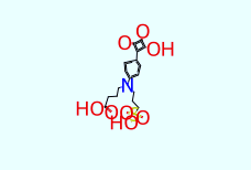 O=C(O)CCCN(CCCS(=O)(=O)O)c1ccc(-c2c(O)c(=O)c2=O)cc1